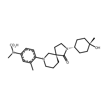 Cc1cc(N(C)C(=O)O)ccc1N1CCC[C@]2(CCN([C@H]3CC[C@@](C)(O)CC3)C2=O)C1